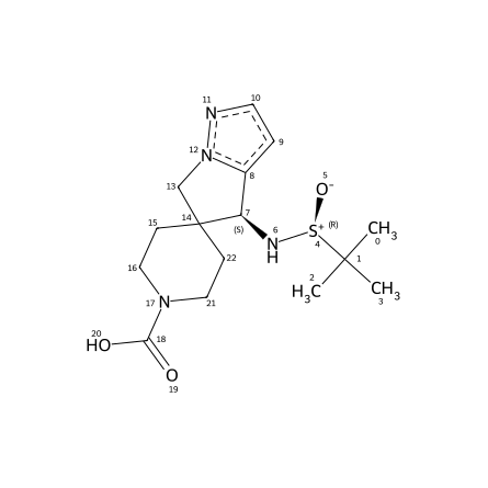 CC(C)(C)[S@+]([O-])N[C@@H]1c2ccnn2CC12CCN(C(=O)O)CC2